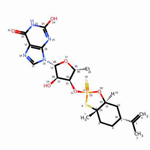 C=C(C)[C@@H]1CC[C@]2(C)S[P@@](=S)(O[C@H]3[C@@H](O)[C@H](n4cnc5c(=O)[nH]c(O)nc54)O[C@@H]3CC)O[C@H]2C1